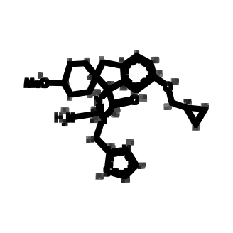 COC1CCC2(CC1)Cc1ccc(OCC3CC3)cc1C21N=C(N)N(Cc2nccs2)CC1=O